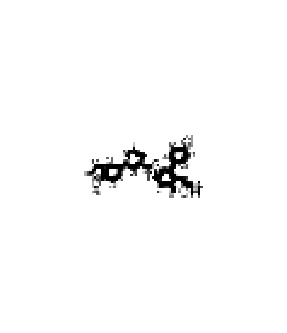 Cc1cc2nc(-c3ccnc(-c4ccc5c(c4)CCN5C)c3)sc2c(-c2ccc(Cl)cc2)c1CC(=O)O